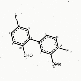 COc1cc(-c2cc(F)ccc2C=O)ccc1F